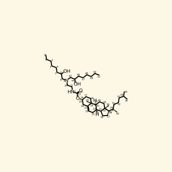 CCCCCCC(O)CN(CCNC(=O)O[C@H]1CC[C@@]2(C)C(=CC[C@H]3C4CC[C@H]([C@H](C)CCCC(C)C)[C@@]4(C)CC[C@@H]32)C1)CC(O)CCCCCC